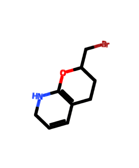 BrCC1CCC2=C(NCC=C2)O1